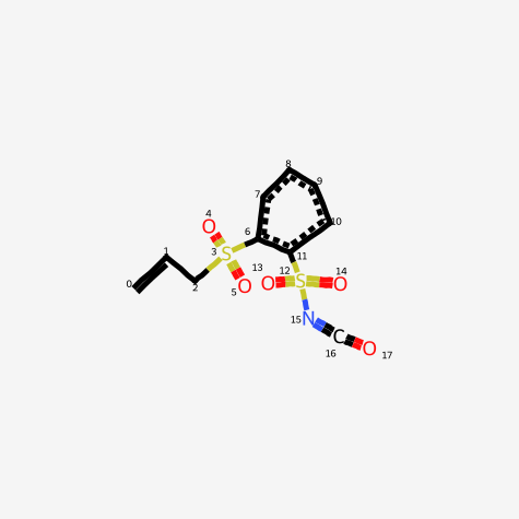 C=CCS(=O)(=O)c1ccccc1S(=O)(=O)N=C=O